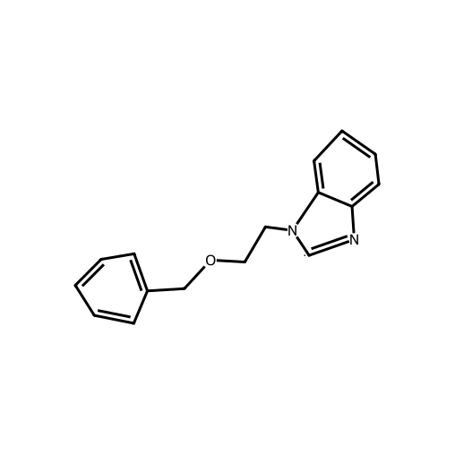 [c]1nc2ccccc2n1CCOCc1ccccc1